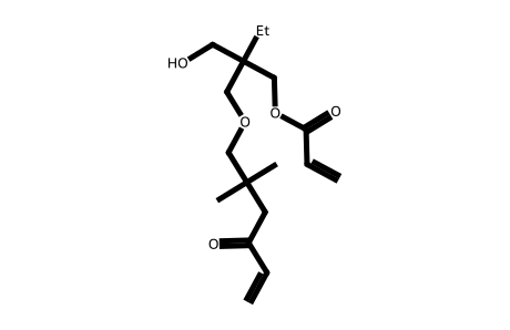 C=CC(=O)CC(C)(C)COCC(CC)(CO)COC(=O)C=C